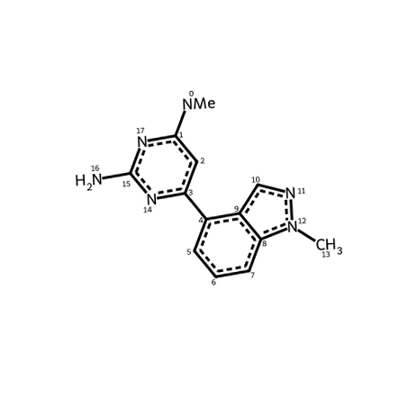 CNc1cc(-c2cccc3c2cnn3C)nc(N)n1